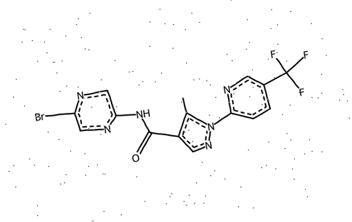 Cc1c(C(=O)Nc2cnc(Br)cn2)cnn1-c1ccc(C(F)(F)F)cn1